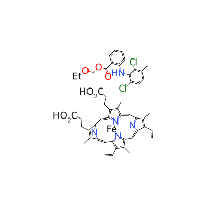 C=CC1=C(C)C2=NC/1=C\c1c(C)c(C=C)c3[n]1[Fe][n]1/c(c(C)c(CCC(=O)O)/c1=C/C1=NC(=C\3)/C(C)=C1CCC(=O)O)=C\2.CCOCOC(=O)c1ccccc1Nc1c(Cl)ccc(C)c1Cl